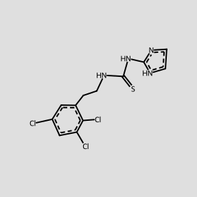 S=C(NCCc1cc(Cl)cc(Cl)c1Cl)Nc1ncc[nH]1